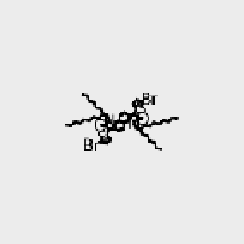 CCCCCCCCC(CCCCCC)CN1C(=O)C(c2ccc(Br)s2)=c2ccc3c4c(ccc3c21)=C(c1ccc(Br)s1)C(=O)N4CC(CCCCCC)CCCCCCCC